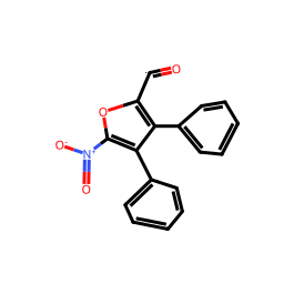 O=[C]c1oc([N+](=O)[O-])c(-c2ccccc2)c1-c1ccccc1